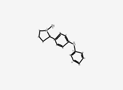 CCN1CCCC1c1ccc(Oc2ccccc2)cc1